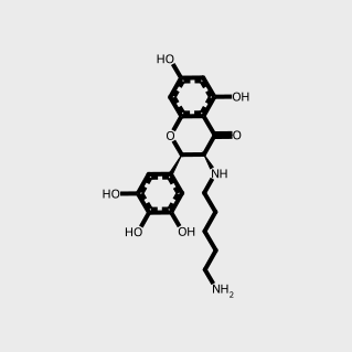 NCCCCCN[C@@H]1C(=O)c2c(O)cc(O)cc2O[C@@H]1c1cc(O)c(O)c(O)c1